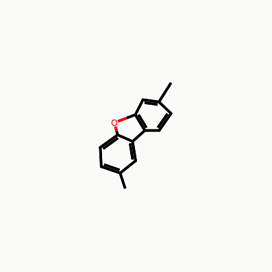 Cc1ccc2c(c1)oc1ccc(C)cc12